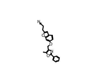 Cc1oc(-c2ccccc2)nc1COc1ccc2cc(CCC#N)oc2c1